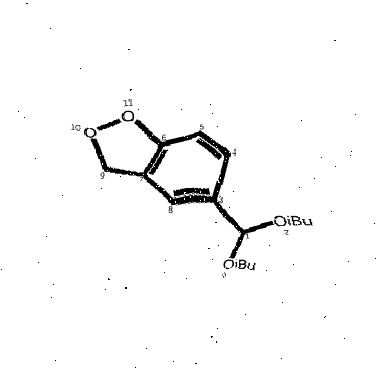 CC(C)COC(OCC(C)C)c1ccc2c(c1)COO2